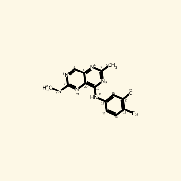 CSc1ncc2nc(C)nc(Nc3ccc(F)c(Cl)c3)c2n1